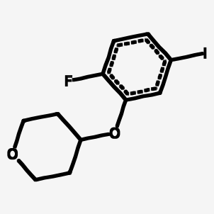 Fc1ccc(I)cc1OC1CCOCC1